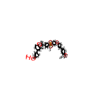 CCC(C)(Oc1ccc(-c2ccc(O)cc2)cc1)c1ccc(S(=O)(=O)c2ccc(Oc3ccc(-c4ccc(OC(C)C)cc4)cc3)cc2)cc1